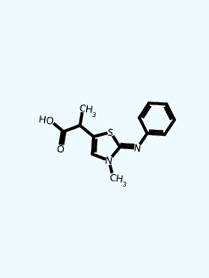 CC(C(=O)O)c1cn(C)c(=Nc2ccccc2)s1